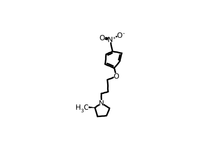 C[C@@H]1CCCN1CCCOc1ccc([N+](=O)[O-])cc1